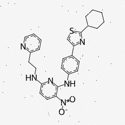 O=[N+]([O-])c1ccc(NCCc2ccccn2)nc1Nc1ccc(-c2csc(C3CCCCC3)n2)cc1